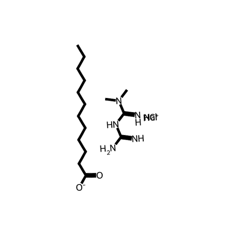 CCCCCCCCCCCC(=O)[O-].CN(C)C(=N)NC(=N)N.Cl.[Na+]